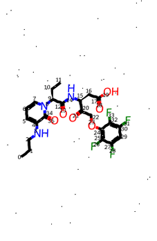 CCCNc1cccn([C@@H](CC)C(=O)N[C@@H](CC(=O)O)C(=O)COc2c(F)c(F)cc(F)c2F)c1=O